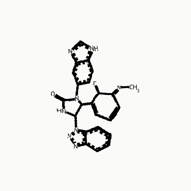 CN=C1C=CC=C(C2C(n3nnc4ccccc43)NC(=O)N2c2ccc3[nH]cnc3c2)C1F